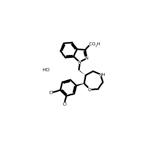 Cl.O=C(O)c1nn(C[C@@H]2CNCCO[C@H]2c2ccc(Cl)c(Cl)c2)c2ccccc12